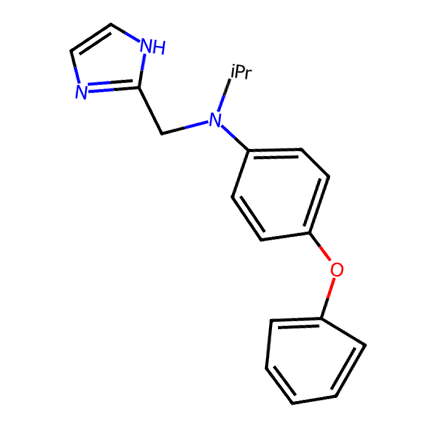 CC(C)N(Cc1ncc[nH]1)c1ccc(Oc2ccccc2)cc1